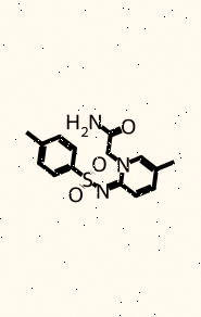 Cc1ccc(S(=O)(=O)/N=c2/ccc(C)cn2CC(N)=O)cc1